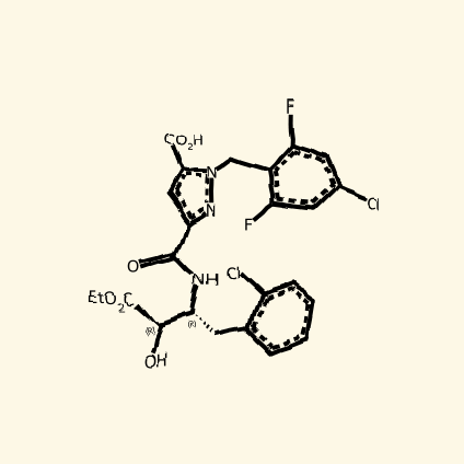 CCOC(=O)[C@H](O)[C@@H](Cc1ccccc1Cl)NC(=O)c1cc(C(=O)O)n(Cc2c(F)cc(Cl)cc2F)n1